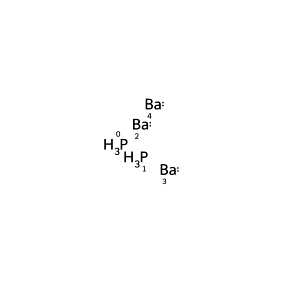 P.P.[Ba].[Ba].[Ba]